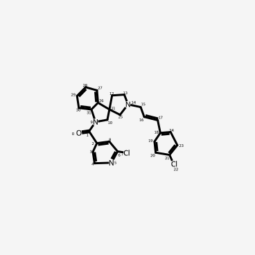 O=C(c1ccnc(Cl)c1)N1CC2(CCN(CC=Cc3ccc(Cl)cc3)C2)c2ccccc21